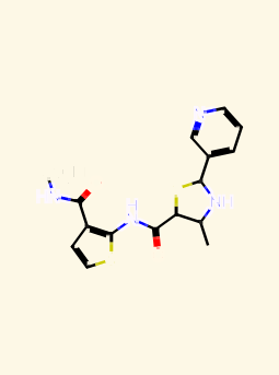 CCOC(=O)NC(=O)c1ccsc1NC(=O)C1SC(c2cccnc2)NC1C